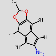 [2H]C1=C(N)C([2H])=C2C1=C([2H])C1=C(OC([2H])O1)C2[2H]